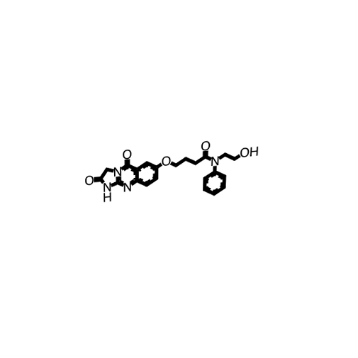 O=C1Cn2c(nc3ccc(OCCCC(=O)N(CCO)c4ccccc4)cc3c2=O)N1